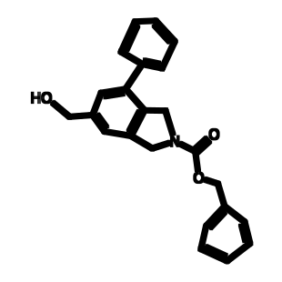 O=C(OCc1ccccc1)N1Cc2cc(CO)cc(-c3ccccc3)c2C1